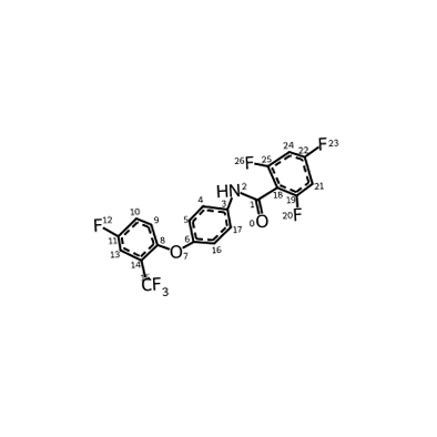 O=C(Nc1ccc(Oc2ccc(F)cc2C(F)(F)F)cc1)c1c(F)cc(F)cc1F